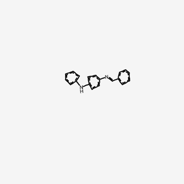 C(=Nc1ccc(Nc2ccccc2)cc1)c1ccccc1